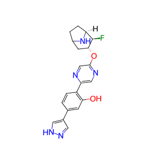 Oc1cc(-c2cn[nH]c2)ccc1-c1cnc(O[C@@H]2CC3CC[C@H](N3)[C@H]2F)cn1